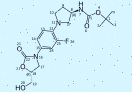 CC(C)(C)OC(=O)N[C@@H]1CCN(c2ccc(N3C[C@H](CO)OC3=O)cc2F)C1